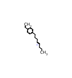 C=Cc1ccc(CCC/C=C/CCC)cc1